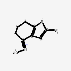 O/N=C1\CCCc2sc(Br)cc21